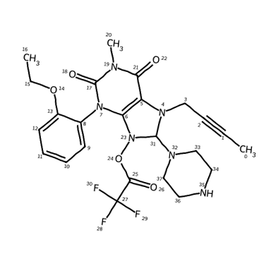 CC#CCN1c2c(n(-c3ccccc3OCC)c(=O)n(C)c2=O)N(OC(=O)C(F)(F)F)C1N1CCNCC1